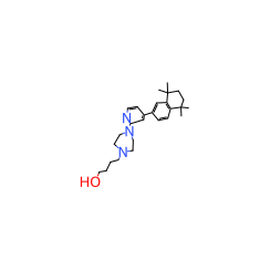 CC1(C)CCC(C)(C)c2cc(-c3ccnc(N4CCN(CCCCO)CC4)c3)ccc21